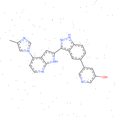 Cc1cn(-c2ccnc3[nH]c(-c4n[nH]c5ccc(-c6cncc(O)c6)cc45)cc23)cn1